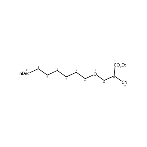 CCCCCCCCCCCCCCCCOCC(C#N)C(=O)OCC